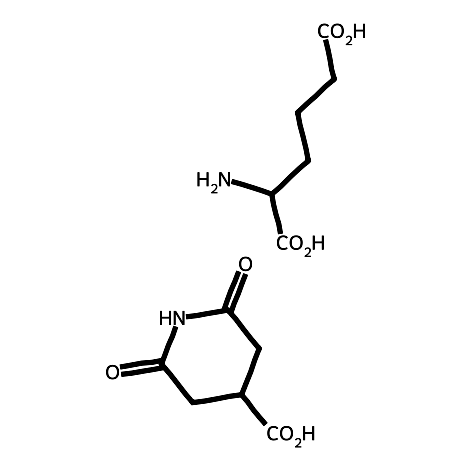 NC(CCCC(=O)O)C(=O)O.O=C1CC(C(=O)O)CC(=O)N1